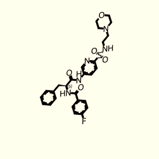 O=C(N[C@@H](Cc1ccccc1)C(=O)Nc1ccc(S(=O)(=O)NCCN2CCOCC2)nc1)c1ccc(F)cc1